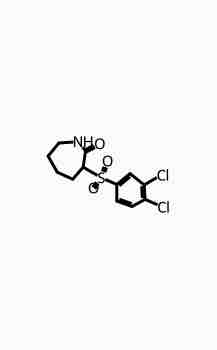 O=C1NCCCCC1S(=O)(=O)c1ccc(Cl)c(Cl)c1